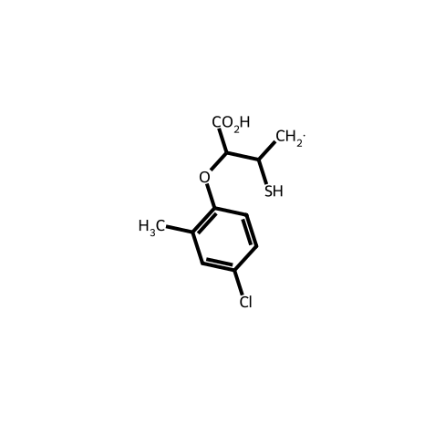 [CH2]C(S)C(Oc1ccc(Cl)cc1C)C(=O)O